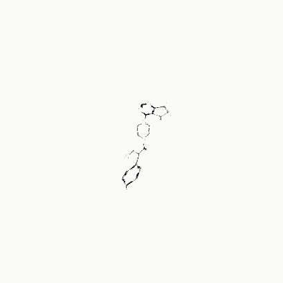 CC1C[C@H](O)c2ncnc(N3CCN(C(=O)C(CN)c4ccc(Cl)cc4)CC3)c21